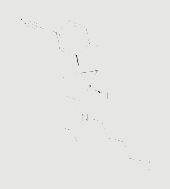 CB(O)N(CCCCO)[C@@H]1CC[C@]2(c3cccc(C#N)c3)C[C@H]12